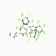 Cc1c(F)c(F)c(C(Cc2c(F)c(F)c(F)c(F)c2F)(c2c(F)c(F)c(F)c(F)c2F)c2c(F)c(F)c(F)c(F)c2F)c(F)c1F